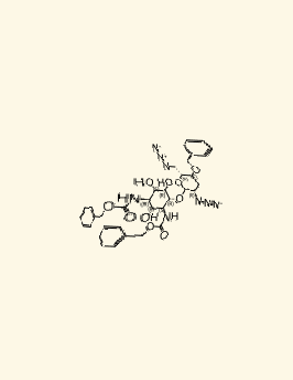 [N-]=[N+]=NC[C@H]1OC(O[C@H]2[C@H](O)[C@@H](O)[C@H](NC(=O)OCc3ccccc3)[C@@H](O)[C@@H]2NC(=O)OCc2ccccc2)[C@H](N=[N+]=[N-])C[C@@H]1OCc1ccccc1